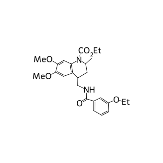 CCOC(=O)N1c2cc(OC)c(OC)cc2C(CNC(=O)c2cccc(OCC)c2)CC1C